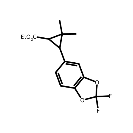 CCOC(=O)C1C(c2ccc3c(c2)OC(F)(F)O3)C1(C)C